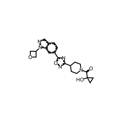 O=C(N1CCC(c2noc(-c3ccc4cnn(C5COC5)c4c3)n2)CC1)C1(O)CC1